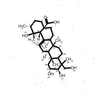 C[C@@H]1CC[C@]2(C(=O)O)CC[C@]3(C)C(=CC[C@@H]4[C@@]5(C)C[C@@H](O)[C@H](O)C(C)(CO)C5CC[C@]43C)[C@@H]2[C@]1(C)O